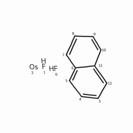 F.F.[Os].c1ccc2ccccc2c1